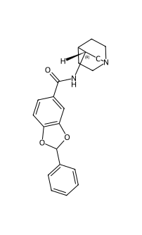 O=C(N[C@H]1CN2CCC1CC2)c1ccc2c(c1)OC(c1ccccc1)O2